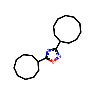 C1CCCCC(c2noc(C3CCCCCCCC3)n2)CCCC1